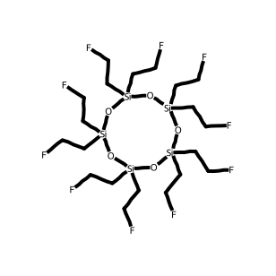 FCC[Si]1(CCF)O[Si](CCF)(CCF)O[Si](CCF)(CCF)O[Si](CCF)(CCF)O[Si](CCF)(CCF)O1